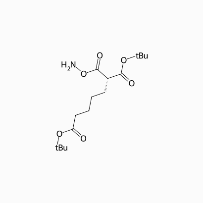 CC(C)(C)OC(=O)CCCC[C@H](C(=O)ON)C(=O)OC(C)(C)C